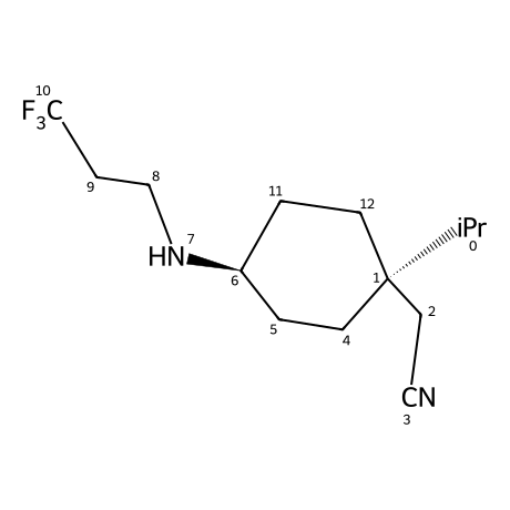 CC(C)[C@]1(CC#N)CC[C@@H](NCCC(F)(F)F)CC1